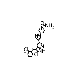 C[C@@H](c1c(Cl)ccc(F)c1Cl)c1c[nH]c2ncc(-c3cnn(C4CCN(C(N)=O)CC4)c3)cc12